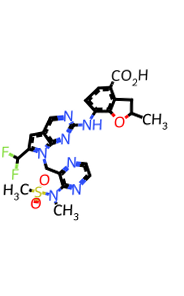 CC1Cc2c(C(=O)O)ccc(Nc3ncc4cc(C(F)F)n(Cc5nccnc5N(C)S(C)(=O)=O)c4n3)c2O1